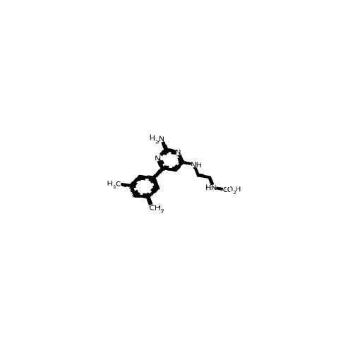 Cc1cc(C)cc(-c2cc(NCCNC(=O)O)nc(N)n2)c1